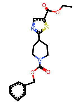 CCOC(=O)c1cnc(C2CCN(C(=O)OCc3ccccc3)CC2)s1